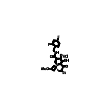 CCN1C[C@]2(C[C@H](OC)C2)n2cc(C(=O)NCc3ccc(F)cc3F)c(=O)c(O)c2C1=O.Cl